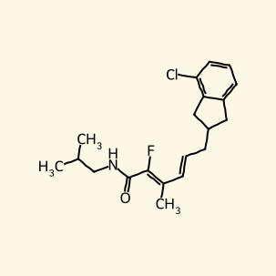 CC(C=CCC1Cc2cccc(Cl)c2C1)=C(F)C(=O)NCC(C)C